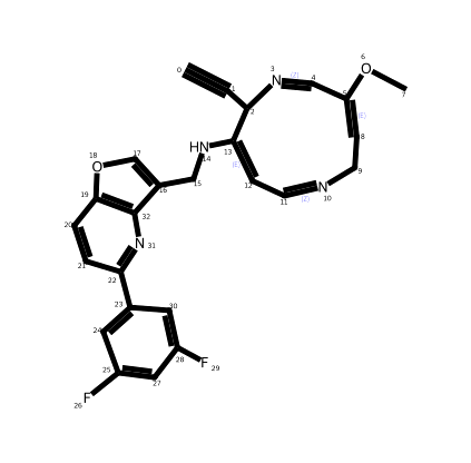 C#CC1/N=C\C(OC)=C/C/N=C\C=C/1NCc1coc2ccc(-c3cc(F)cc(F)c3)nc12